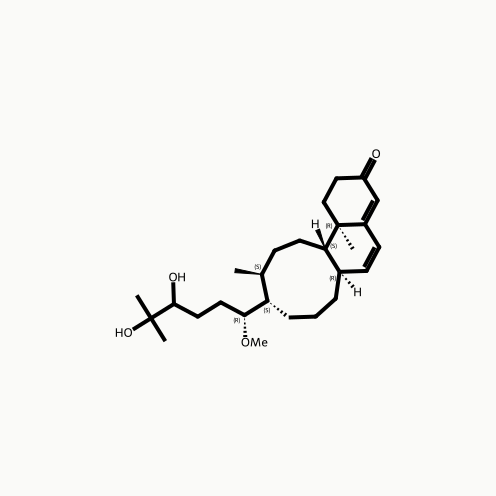 CO[C@H](CCC(O)C(C)(C)O)[C@H]1CCC[C@@H]2C=CC3=CC(=O)CC[C@]3(C)[C@H]2CC[C@@H]1C